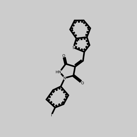 O=C1NN(c2ccc(I)cc2)C(=O)C1=Cc1cc2ccccc2s1